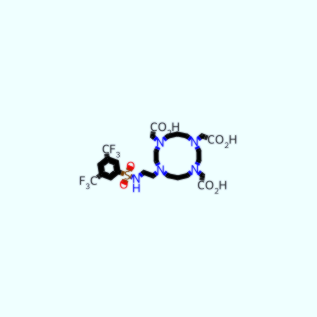 O=C(O)CN1CCCN(CC(=O)O)CCN(CC(=O)O)CCCN(CCNS(=O)(=O)c2cc(C(F)(F)F)cc(C(F)(F)F)c2)CC1